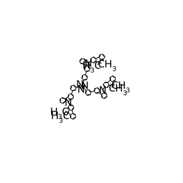 CC1(C)c2ccccc2-c2ccc(-n3c4ccccc4c4cc(-c5ccc(-c6nc(-c7cccc(-c8ccc9c(c8)c8ccccc8n9-c8ccc9c(c8)C(C)(C)c8ccccc8-9)c7)nc(-c7cccc(-c8ccc9c(c8)c8ccccc8n9-c8ccc9c(c8)C(C)(C)c8ccccc8-9)c7)n6)cc5)ccc43)cc21